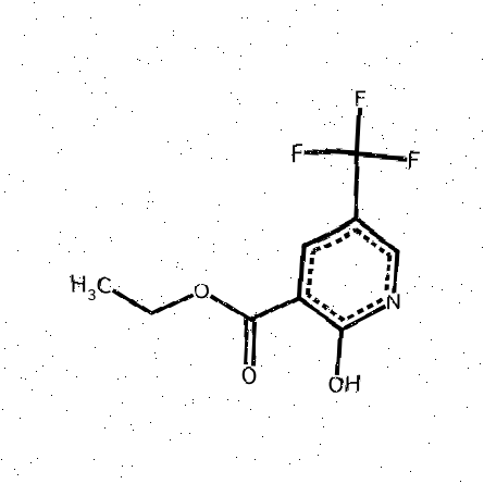 CCOC(=O)c1cc(C(F)(F)F)cnc1O